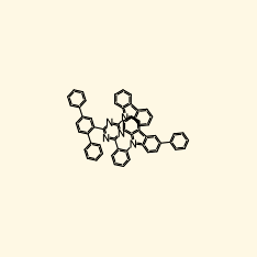 c1ccc(-c2ccc(-c3ccccc3)c(-c3nc(-c4ccccc4-n4c5ccccc5c5cc(-c6ccccc6)ccc54)nc(-n4c5ccccc5c5ccccc54)n3)c2)cc1